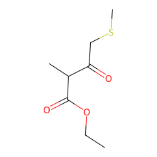 CCOC(=O)C(C)C(=O)CSC